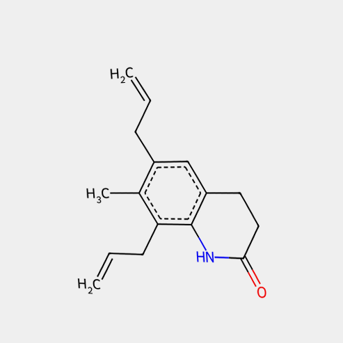 C=CCc1cc2c(c(CC=C)c1C)NC(=O)CC2